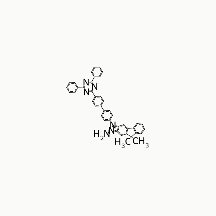 CC1(C)c2ccccc2-c2cc3c(cc21)n(N)n3-c1ccc(-c2ccc(-c3nc(-c4ccccc4)nc(-c4ccccc4)n3)cc2)cc1